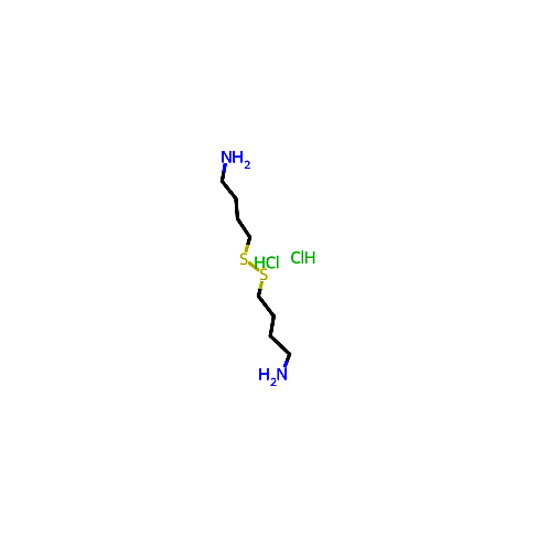 Cl.Cl.NCCCCSSCCCCN